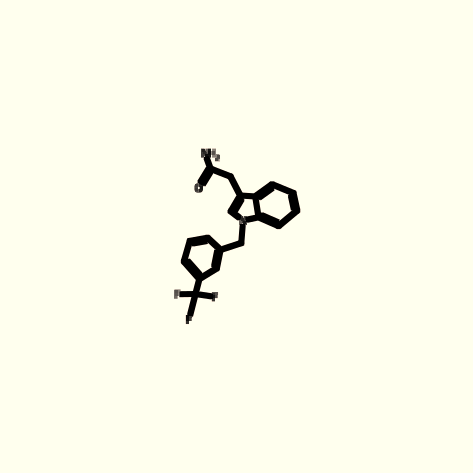 NC(=O)Cc1cn(Cc2cccc(C(F)(F)F)c2)c2ccccc12